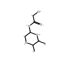 CC1OCC(OC(=O)CCl)OC1C